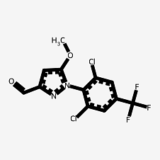 COc1cc(C=O)nn1-c1c(Cl)cc(C(F)(F)F)cc1Cl